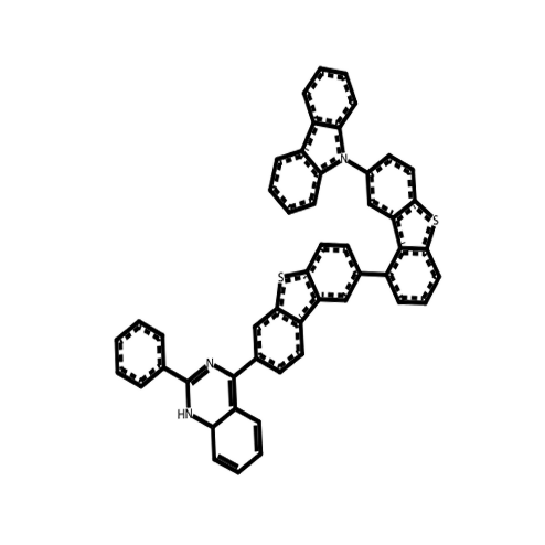 C1=CC2=C(c3ccc4c(c3)sc3ccc(-c5cccc6sc7ccc(-n8c9ccccc9c9ccccc98)cc7c56)cc34)N=C(c3ccccc3)NC2C=C1